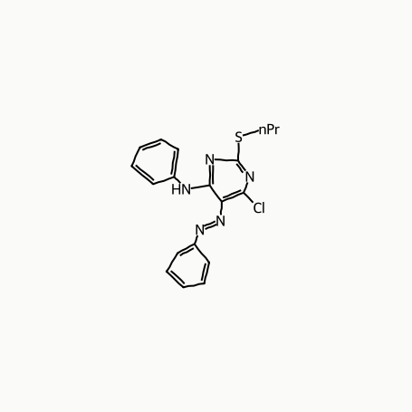 CCCSc1nc(Cl)c(/N=N/c2ccccc2)c(Nc2ccccc2)n1